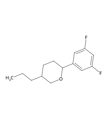 CCCC1CCC(c2cc(F)cc(F)c2)OC1